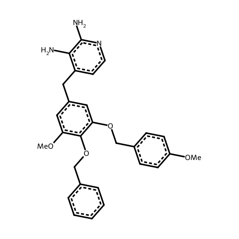 COc1ccc(COc2cc(Cc3ccnc(N)c3N)cc(OC)c2OCc2ccccc2)cc1